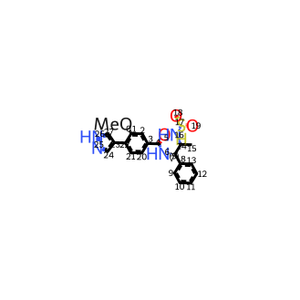 COc1cc(C(=O)N[C@@H](c2ccccc2)C(C)N[SH](=O)=O)ccc1-c1cn[nH]c1